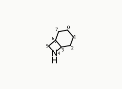 C1CCC2NC[C]2C1